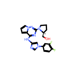 OC[C@@H]1CCCN1c1nc(Nc2cn(-c3ccc(F)c(F)c3)cn2)c2cccn2n1